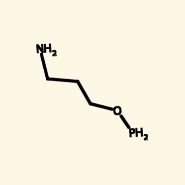 NCCCOP